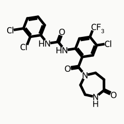 O=C1CCN(C(=O)c2cc(Cl)c(C(F)(F)F)cc2NC(=O)Nc2cccc(Cl)c2Cl)CCN1